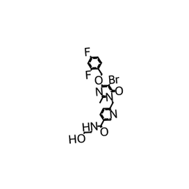 Cc1nc(OCc2ccc(F)cc2F)c(Br)c(=O)n1Cc1ccc(C(=O)NCCO)cn1